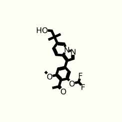 COc1cc(-c2cnn3cc(C(C)(C)CO)ccc23)cc(OC(F)F)c1C(C)=O